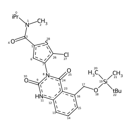 CC(C)N(C)C(=O)c1cc(-n2c(=O)[nH]c3cccc(CO[Si](C)(C)C(C)(C)C)c3c2=O)c(Cl)s1